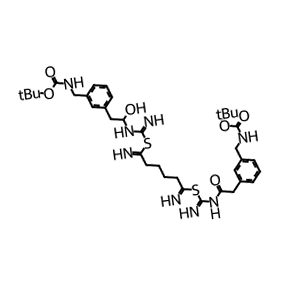 CC(C)(C)OC(=O)NCc1cccc(CC(=O)NC(=N)SC(=N)CCCCC(=N)SC(=N)NC(O)Cc2cccc(CNC(=O)OC(C)(C)C)c2)c1